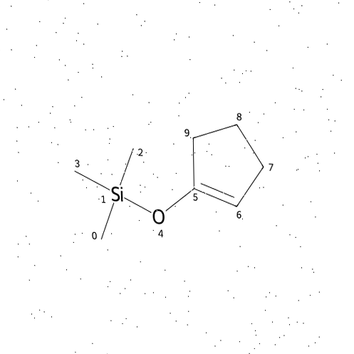 C[Si](C)(C)OC1=CCCC1